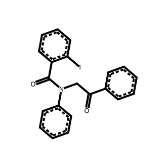 O=C(CN(C(=O)c1ccccc1I)c1ccccc1)c1ccccc1